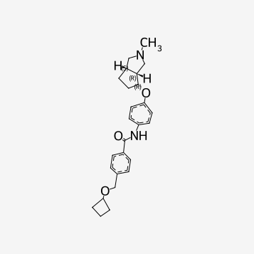 CN1C[C@H]2CC[C@@H](Oc3ccc(NC(=O)c4ccc(COC5CCC5)cc4)cc3)[C@H]2C1